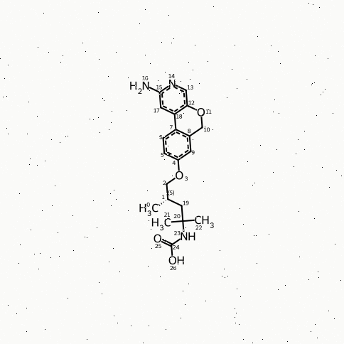 C[C@H](COc1ccc2c(c1)COc1cnc(N)cc1-2)CC(C)(C)NC(=O)O